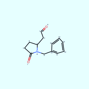 O=CCC1CCC(=O)N1Cc1ccccc1